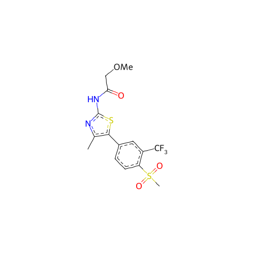 COCC(=O)Nc1nc(C)c(-c2ccc(S(C)(=O)=O)c(C(F)(F)F)c2)s1